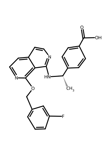 C[C@H](Nc1nccc2ccnc(OCc3cccc(F)c3)c12)c1ccc(C(=O)O)cc1